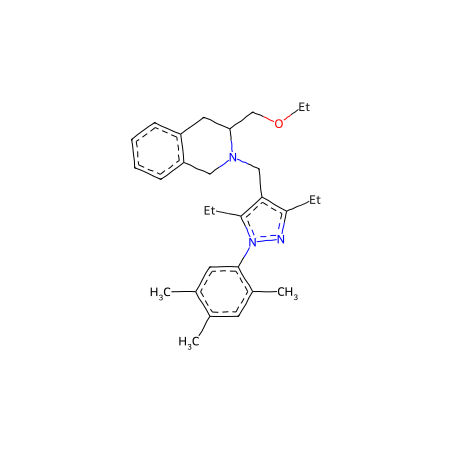 CCOCC1Cc2ccccc2CN1Cc1c(CC)nn(-c2cc(C)c(C)cc2C)c1CC